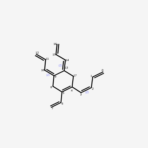 C=C/C=C\C1=C(C=C)CC(=C/C=C)/C(=C\C=C)C1